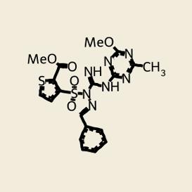 COC(=O)c1sccc1S(=O)(=O)N(N=Cc1ccccc1)C(=N)Nc1nc(C)nc(OC)n1